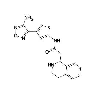 Nc1nonc1-c1csc(NC(=O)CC2NCCc3ccccc32)n1